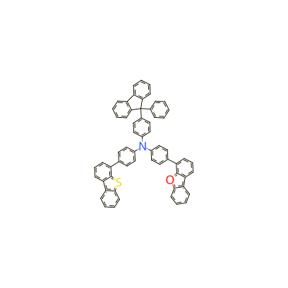 c1ccc(C2(c3ccc(N(c4ccc(-c5cccc6c5oc5ccccc56)cc4)c4ccc(-c5cccc6c5sc5ccccc56)cc4)cc3)c3ccccc3-c3ccccc32)cc1